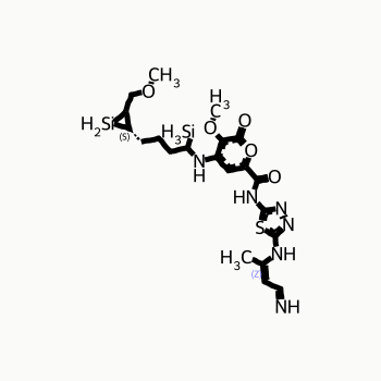 COCC1[SiH2][C@H]1CCCC([SiH3])Nc1cc(C(=O)Nc2nnc(N/C(C)=C\C=N)s2)oc(=O)c1OC